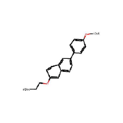 CCCCCCCCCCCCOc1ccc2cc(-c3ccc(OCCCCCCCC)cc3)ccc2c1